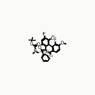 COc1ccc(C(N)=O)c(-c2c(Cl)c(F)cc3c2[C@H](C)[C@@](CN(C)C(=O)OC(C)(C)C)(c2ccccc2)O3)c1F